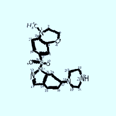 CN1CCOc2cc(S(=O)(=O)n3ncc4ccc(N5CCNCC5)cc43)ccc21